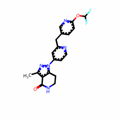 Cc1nn(-c2ccnc(Cc3ccc(OC(F)F)nc3)c2)c2c1C(=O)NCC2